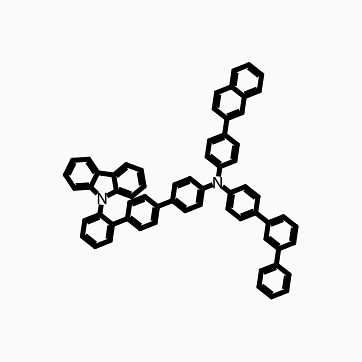 c1ccc(-c2cccc(-c3ccc(N(c4ccc(-c5ccc(-c6ccccc6-n6c7ccccc7c7ccccc76)cc5)cc4)c4ccc(-c5ccc6ccccc6c5)cc4)cc3)c2)cc1